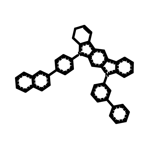 C1=Cc2c(n(-c3ccc(-c4ccc5ccccc5c4)cc3)c3cc4c(cc23)c2ccccc2n4-c2cccc(-c3ccccc3)c2)CC1